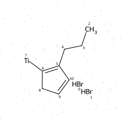 Br.Br.CCCC1=[C]([Ti])CC=C1